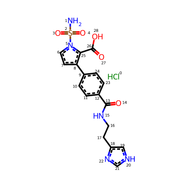 Cl.NS(=O)(=O)n1ccc(-c2ccc(C(=O)NCCc3c[nH]cn3)cc2)c1C(=O)O